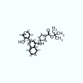 CC(C)(C)OC(=O)N1CCC(Nc2cc(-c3ccccc3O)nc3ccccc23)C1